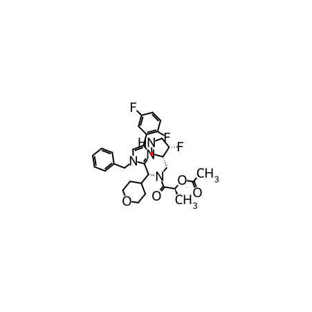 CC(=O)O[C@@H](C)C(=O)N(C[C@@H]1CNC[C@@H]1F)[C@@H](c1nc(-c2cc(F)ccc2F)cn1Cc1ccccc1)C1CCOCC1